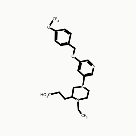 O=C(O)CCC1CN(c2cncc(OCc3ccc(OC(F)(F)F)cc3)c2)CCN1CC(F)(F)F